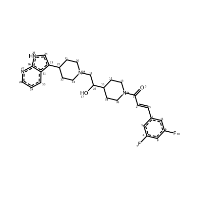 O=C(C=Cc1cc(F)cc(F)c1)N1CCC(C(O)CN2CCC(c3c[nH]c4ncccc34)CC2)CC1